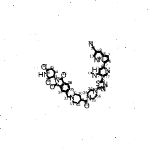 CNc1cc(-c2ccc3cc(C#N)cnn23)ncc1-c1nnc(N2CCN(C(=O)C3CCN(Cc4ccc5c(c4)C(=O)N(C4CCC(=O)NC4=O)C5=O)CC3)CC2)s1